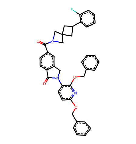 O=C(c1ccc2c(c1)CN(c1ccc(OCc3ccccc3)nc1OCc1ccccc1)C2=O)N1CC2(CC(c3ccccc3F)C2)C1